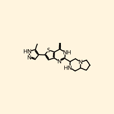 C=C1NC(C2CN3CCCC3CN2)=Nc2cc(-c3cn[nH]c3C)sc21